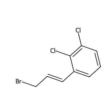 Clc1cccc(/C=C/CBr)c1Cl